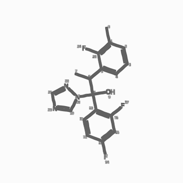 Cc1cccc(C(C)C(O)(c2ccc(F)cc2F)n2cncn2)c1F